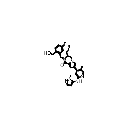 COCC1Cn2cc(-c3cc(Nc4ccnn4C)ncc3C)cc2C(=O)N1Cc1cc(F)ccc1CO